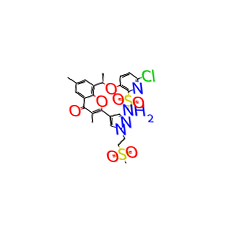 Cc1cc([C@@H](C)Oc2ccc(Cl)nc2S(N)(=O)=O)c2oc(-c3cnn(CCS(C)(=O)=O)c3)c(C)c(=O)c2c1